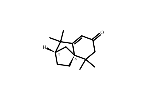 CC1(C)C2=CC(=O)CC(C)(C)[C@@]23CC[C@H]1C3